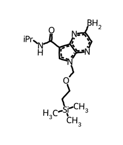 Bc1cnc2c(n1)c(C(=O)NC(C)C)cn2COCC[Si](C)(C)C